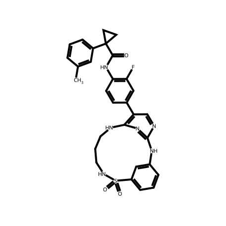 Cc1cccc(C2(C(=O)Nc3ccc(-c4cnc5nc4NCCCNS(=O)(=O)c4cccc(c4)N5)cc3F)CC2)c1